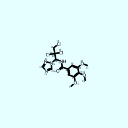 COc1cc(C(=O)NC(n2cncn2)C(Cl)(Cl)CCl)cc(OC)c1OC